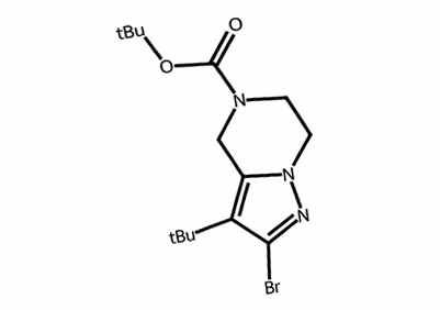 CC(C)(C)OC(=O)N1CCn2nc(Br)c(C(C)(C)C)c2C1